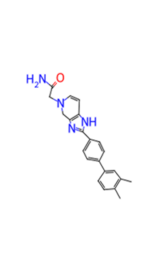 Cc1ccc(-c2ccc(-c3nc4c([nH]3)C=CN(CC(N)=O)C4)cc2)cc1C